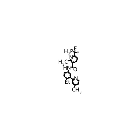 CCc1ccc(NC(=O)c2ccc(C(F)(F)P)nc2C)cc1-c1cc(C)ccn1